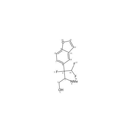 CNC(CO)C(F)(c1ccc2occc2c1)C(F)F